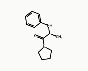 C[C@H](Nc1ccccc1)C(=O)N1CCCC1